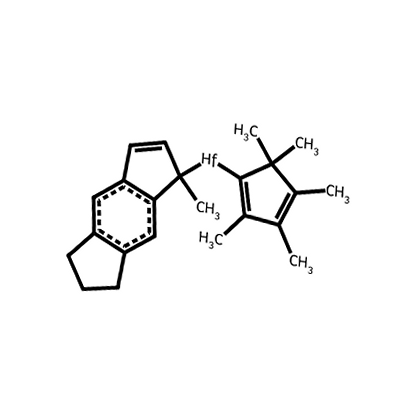 CC1=C(C)C(C)(C)[C]([Hf][C]2(C)C=Cc3cc4c(cc32)CCC4)=C1C